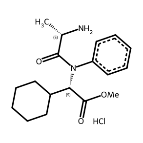 COC(=O)[C@H](C1CCCCC1)N(C(=O)[C@H](C)N)c1ccccc1.Cl